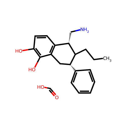 CCCC1[C@H](c2ccccc2)Cc2c(ccc(O)c2O)[C@@H]1CN.O=CO